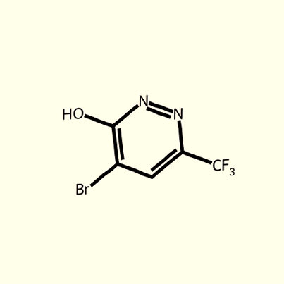 Oc1nnc(C(F)(F)F)cc1Br